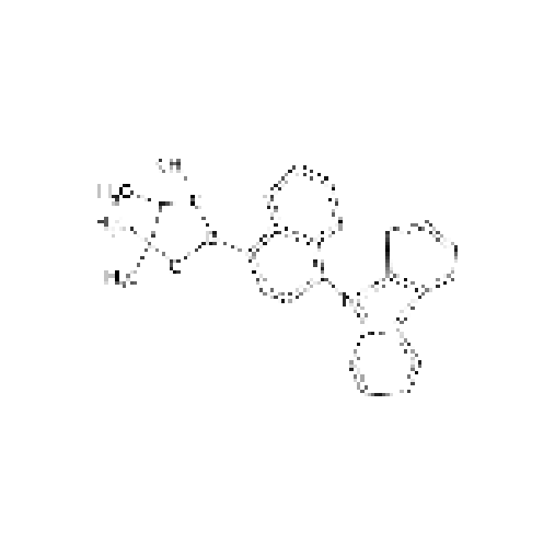 CC1(C)OB(c2ccc(-n3c4ccccc4c4ccccc43)c3ccccc23)OC1(C)C